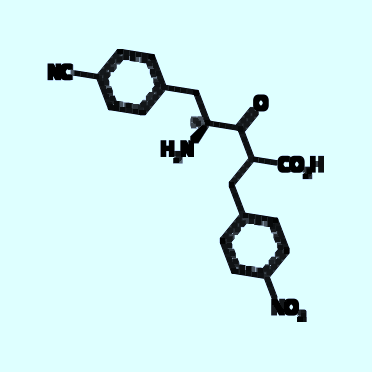 N#Cc1ccc(C[C@H](N)C(=O)C(Cc2ccc([N+](=O)[O-])cc2)C(=O)O)cc1